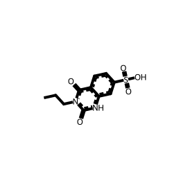 CCCn1c(=O)[nH]c2cc(S(=O)(=O)O)ccc2c1=O